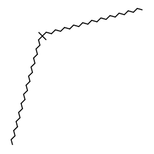 CCCCCCCCCCCCCCCCCCCCCCCCC(C)(C)CCCCCCCCCCCCCCCCCCCCCC